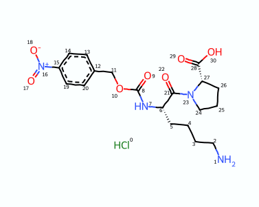 Cl.NCCCC[C@H](NC(=O)OCc1ccc([N+](=O)[O-])cc1)C(=O)N1CCC[C@H]1C(=O)O